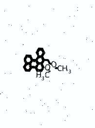 CCOC(Cc1c2ccccc2c2c3cccc4cccc(c5cccc1c52)c43)OCC